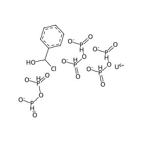 O=[PH]([O-])O[PH](=O)[O-].O=[PH]([O-])O[PH](=O)[O-].O=[PH]([O-])O[PH](=O)[O-].OC(Cl)c1ccccc1.[U+6]